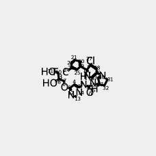 O=C(Nc1cc(OCC(O)CO)ncn1)N1c2nc(-c3cccc(C(F)(F)F)c3)c(Cl)cc2N2CC[C@H]1C2